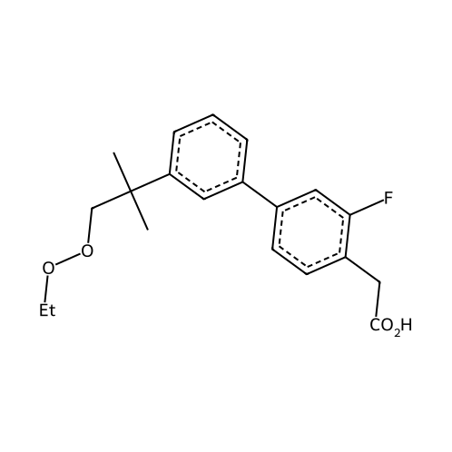 CCOOCC(C)(C)c1cccc(-c2ccc(CC(=O)O)c(F)c2)c1